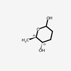 C[C@H]1OC(O)CC[C@@H]1O